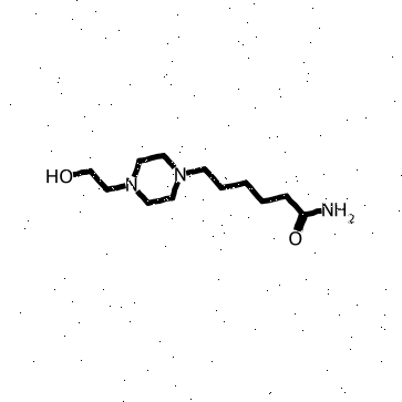 NC(=O)CCCCCN1CCN(CCO)CC1